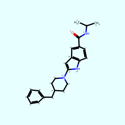 CC(C)NC(=O)c1ccc2[nH]c(N3CCC(Cc4ccccc4)CC3)cc2c1